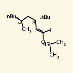 CCCC[C@H](C)C[C@@H](C=C(I)O[SiH](C)C)C(C)(C)C